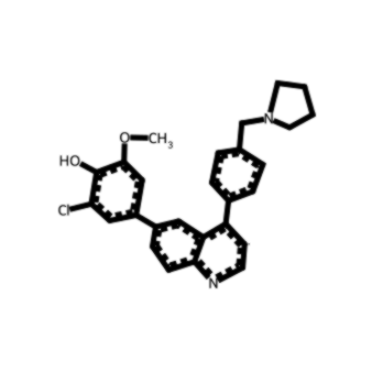 COc1cc(-c2ccc3nc[c]c(-c4ccc(CN5CCCC5)cc4)c3c2)cc(Cl)c1O